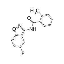 Cc1ccccc1C(=O)Nc1noc2ccc(F)cc12